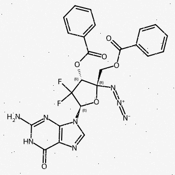 [N-]=[N+]=N[C@]1(COC(=O)c2ccccc2)O[C@@H](n2cnc3c(=O)[nH]c(N)nc32)C(F)(F)[C@@H]1OC(=O)c1ccccc1